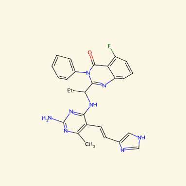 CCC(Nc1nc(N)nc(C)c1C=Cc1c[nH]cn1)c1nc2cccc(F)c2c(=O)n1-c1ccccc1